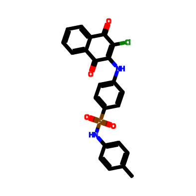 Cc1ccc(NS(=O)(=O)c2ccc(NC3=C(Cl)C(=O)c4ccccc4C3=O)cc2)cc1